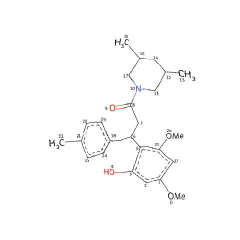 COc1cc(O)c(C(CC(=O)N2CC(C)CC(C)C2)c2ccc(C)cc2)c(OC)c1